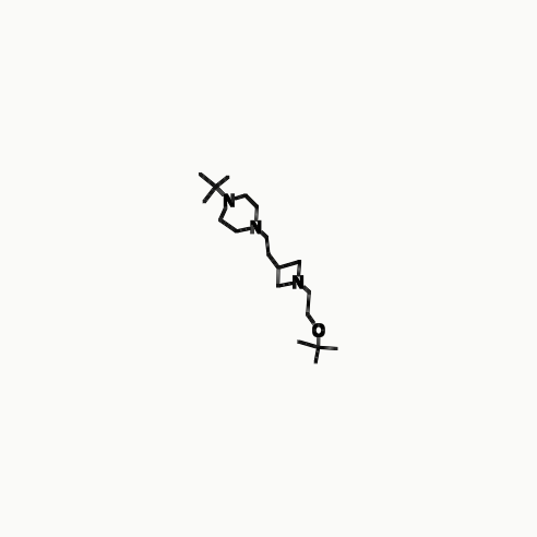 CC(C)(C)OCCN1CC(CCN2CCN(C(C)(C)C)CC2)C1